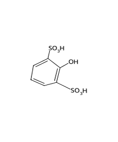 O=S(=O)(O)c1cccc(S(=O)(=O)O)c1O